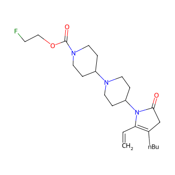 C=CC1=C(CCCC)CC(=O)N1C1CCN(C2CCN(C(=O)OCCF)CC2)CC1